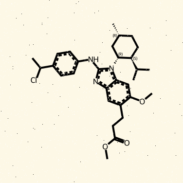 COC(=O)CCc1cc2nc(Nc3ccc(C(C)Cl)cc3)n([C@@H]3C[C@H](C)CC[C@H]3C(C)C)c2cc1OC